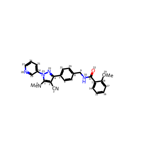 CNc1c(C#N)c(-c2ccc(CNC(=O)c3ccccc3OC)cc2)nn1-c1cccnc1